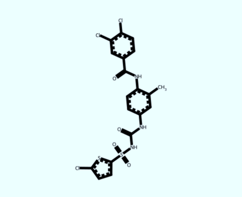 Cc1cc(NC(=O)NS(=O)(=O)c2ccc(Cl)s2)ccc1NC(=O)c1ccc(Cl)c(Cl)c1